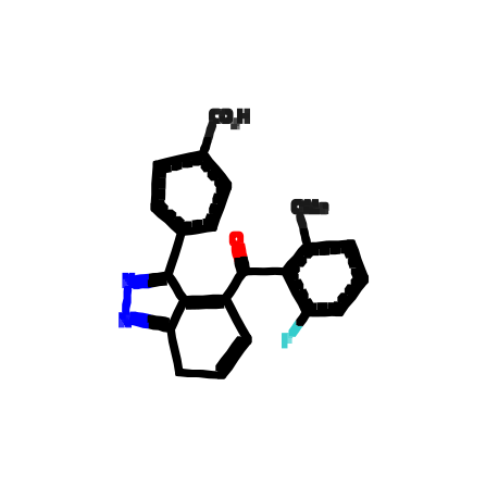 COc1cccc(F)c1C(=O)C1=C2C(=NN=C2c2ccc(C(=O)O)cc2)CC=C1